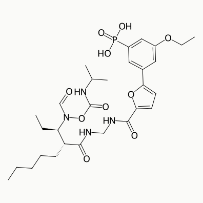 CCCCC[C@@H](C(=O)NCNC(=O)c1ccc(-c2cc(OCC)cc(P(=O)(O)O)c2)o1)[C@@H](CC)N(C=O)OC(=O)NC(C)C